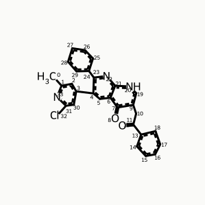 Cc1cc(-c2cc3c(=O)c(CC(=O)c4ccccc4)c[nH]c3nc2-c2ccccc2)cc(Cl)n1